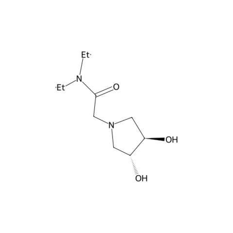 [CH2][CH]N([CH][CH2])C(=O)CN1C[C@@H](O)[C@H](O)C1